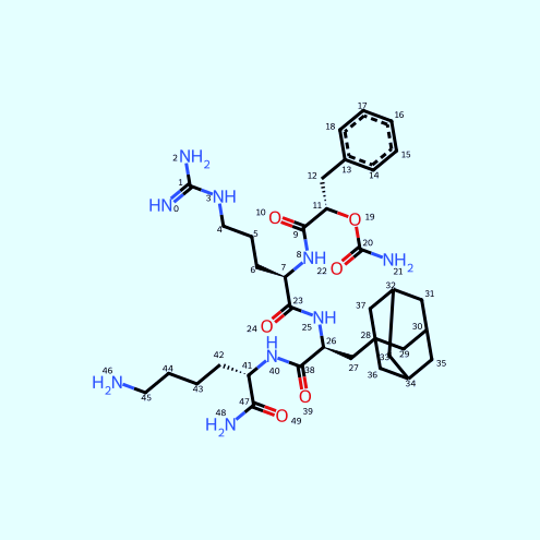 N=C(N)NCCC[C@@H](NC(=O)[C@H](Cc1ccccc1)OC(N)=O)C(=O)N[C@@H](CC12CC3CC(CC(C3)C1)C2)C(=O)N[C@@H](CCCCN)C(N)=O